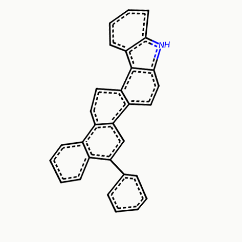 c1ccc(-c2cc3c(ccc4c3ccc3[nH]c5ccccc5c34)c3ccccc23)cc1